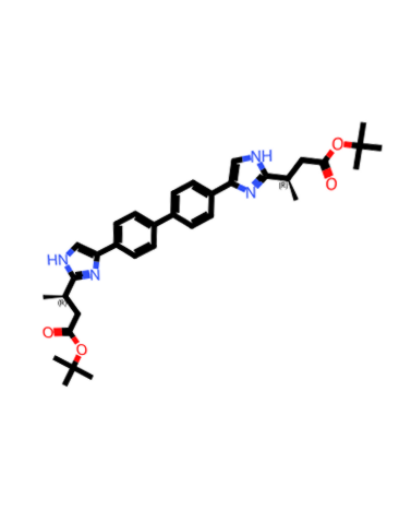 C[C@H](CC(=O)OC(C)(C)C)c1nc(-c2ccc(-c3ccc(-c4c[nH]c([C@H](C)CC(=O)OC(C)(C)C)n4)cc3)cc2)c[nH]1